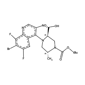 C[C@@H]1CN(c2c([N+](=O)[O-])cnc3c(F)c(Br)c(F)cc23)[C@@H](CO)CN1C(=O)OC(C)(C)C